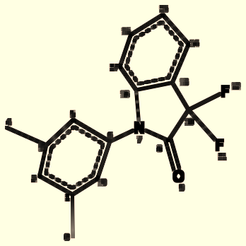 Cc1cc(C)cc(N2C(=O)C(F)(F)c3ccccc32)c1